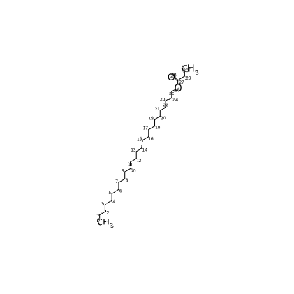 CCCCCCCCCCCCCCCCCCCCCCCCCCOC(=O)CC